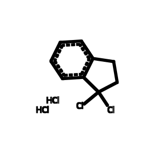 Cl.Cl.ClC1(Cl)CCc2ccccc21